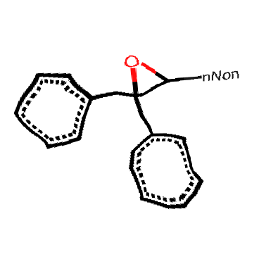 CCCCCCCCCC1OC1(c1ccccc1)c1ccccc1